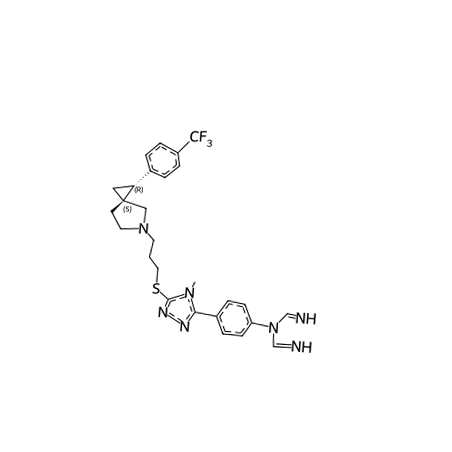 Cn1c(SCCCN2CC[C@]3(C[C@@H]3c3ccc(C(F)(F)F)cc3)C2)nnc1-c1ccc(N(C=N)C=N)cc1